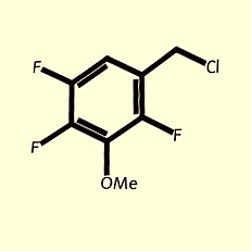 COc1c(F)c(F)cc(CCl)c1F